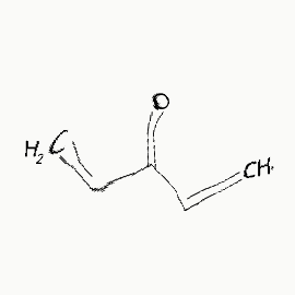 [CH]=CC(=O)C=C